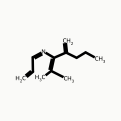 C=C/C=N\C(C(=C)CCC)=C(C)C